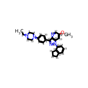 CCN1CCN(c2ccc(-c3nn(-c4cccc5c4CCC5)c4cc(OC)cnc34)cc2)CC1